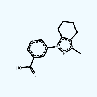 Cc1nn(-c2cccc(C(=O)O)c2)c2c1CCCC2